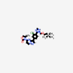 CC(C)C1COC(=O)N1c1ccn2ncc(-c3ccc(-c4ncnn4COCC[Si](C)(C)C)c(Cl)c3)c2n1